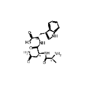 C[C@H](N)C(=O)N[C@@H](CC(N)=O)C(=O)N[C@@H](Cc1c[nH]c2ccccc12)C(=O)O